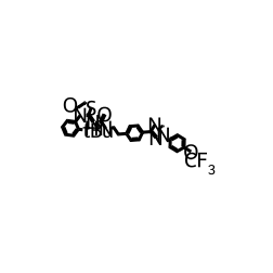 CC(C)(C)c1ccccc1N1C(=O)CSC1=NC(=O)NCCc1ccc(-c2ncn(-c3ccc(OC(F)(F)F)cc3)n2)cc1